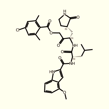 COc1cccc2[nH]c(C(=O)N[C@@H](CC(C)C)C(=O)N[C@@H](C[C@@H]3CCNC3=O)C(=O)COC(=O)c3c(C)cc(Cl)cc3C)cc12